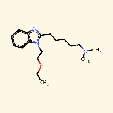 CCOCCn1c(CCCCCN(C)C)nc2ccccc21